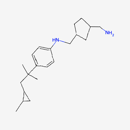 CC1CC1CC(C)(C)c1ccc(NCC2CCC(CN)C2)cc1